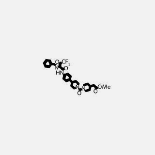 COC(=O)CC1CCN(C(=O)N2CCC(c3ccc(NC(=O)c4nc(-c5ccccc5)oc4C(F)(F)F)cc3)CC2)CC1